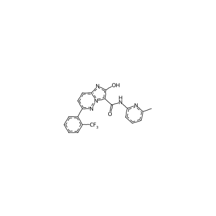 Cc1cccc(NC(=O)c2c(O)nc3ccc(-c4ccccc4C(F)(F)F)nn23)n1